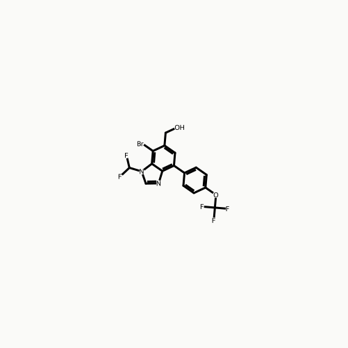 OCc1cc(-c2ccc(OC(F)(F)F)cc2)c2ncn(C(F)F)c2c1Br